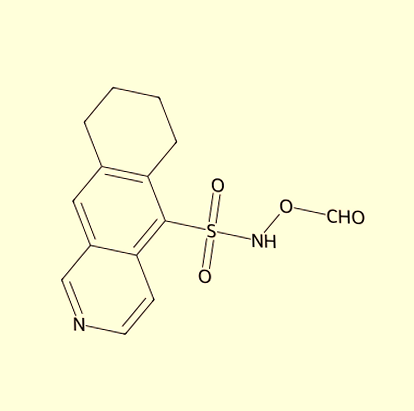 O=CONS(=O)(=O)c1c2c(cc3cnccc13)CCCC2